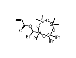 C=CC(=O)OC(CC)[Si]1(C(C)C)O[Si](C)(C)O[Si](C)(C)O[Si](C(C)C)(C(C)C)O1